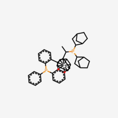 CC(P(C1CC2CCC1C2)C1CC2CCC1C2)[C]12[CH]3[CH]4[CH]5[C]1(c1ccccc1P(c1ccccc1)c1ccccc1)[Fe]45321678[CH]2[CH]1[CH]6[CH]7[CH]28